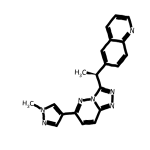 C[C@@H](c1ccc2ncccc2c1)c1nnc2ccc(-c3cnn(C)c3)nn12